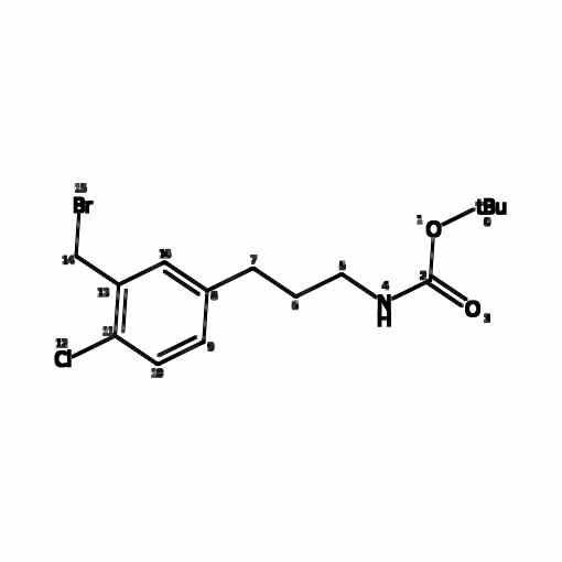 CC(C)(C)OC(=O)NCCCc1ccc(Cl)c(CBr)c1